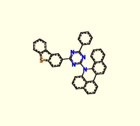 c1ccc(-c2nc(-c3ccc4sc5ccccc5c4c3)nc(N3c4c(ccc5ccccc45)-c4cccc5cccc3c45)n2)cc1